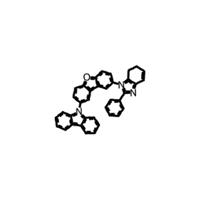 C1=Cc2nc(-c3ccccc3)n(-c3ccc4oc5ccc(-n6c7ccccc7c7ccccc76)cc5c4c3)c2CC1